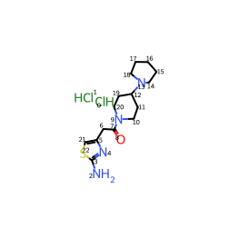 Cl.Cl.Nc1nc(CC(=O)N2CCC(N3CCCCC3)CC2)cs1